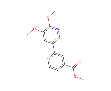 COC(=O)c1cccc(-c2cnc(OC)c(OC)c2)c1